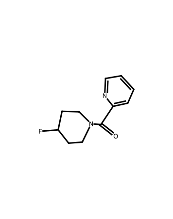 O=C(c1ccccn1)N1CCC(F)CC1